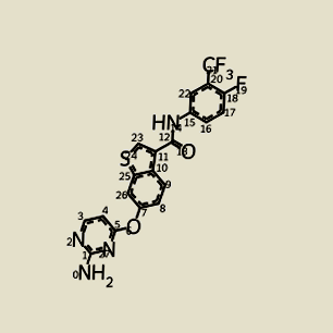 Nc1nccc(Oc2ccc3c(C(=O)Nc4ccc(F)c(C(F)(F)F)c4)csc3c2)n1